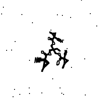 CCC(COC(=O)C1(C#N)CC1C)(COC(=O)C1(C#N)CC1C)COC(=O)C1(C#N)CC1C